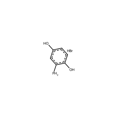 Br.Oc1ccc(O)c(P)c1